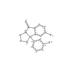 O=C1c2ccc(F)cc2C2(c3cccc(F)c3)OCCN12